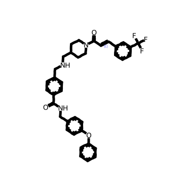 O=C(NCc1ccc(Oc2ccccc2)cc1)c1ccc(CNCC2CCN(C(=O)/C=C/c3cccc(C(F)(F)F)c3)CC2)cc1